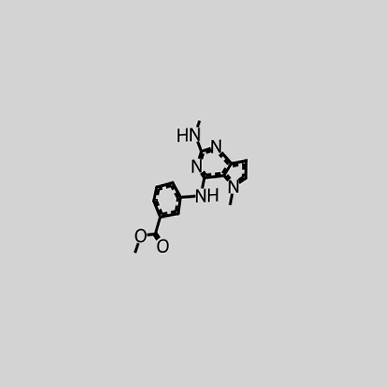 CNc1nc(Nc2cccc(C(=O)OC)c2)c2c(ccn2C)n1